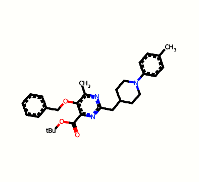 Cc1ccc(N2CCC(Cc3nc(C)c(OCc4ccccc4)c(C(=O)OC(C)(C)C)n3)CC2)cc1